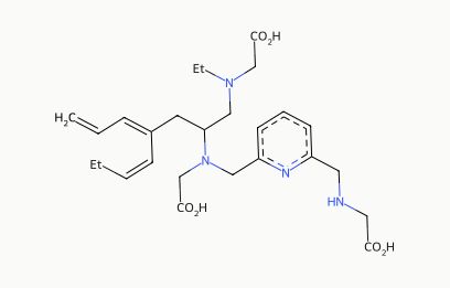 C=C/C=C(\C=C/CC)CC(CN(CC)CC(=O)O)N(CC(=O)O)Cc1cccc(CNCC(=O)O)n1